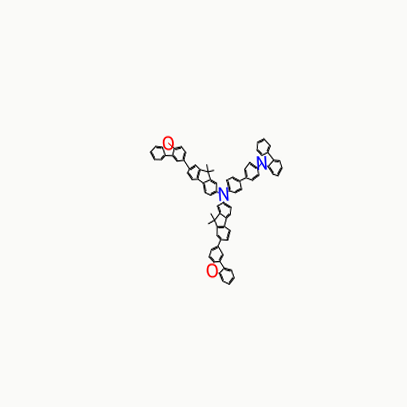 CC1(C)c2cc(-c3ccc4oc5ccccc5c4c3)ccc2-c2ccc(N(c3ccc(-c4ccc(-n5c6ccccc6c6ccccc65)cc4)cc3)c3ccc4c(c3)C(C)(C)c3cc(-c5ccc6oc7ccccc7c6c5)ccc3-4)cc21